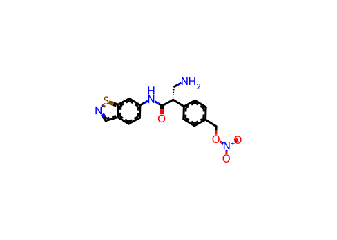 NC[C@@H](C(=O)Nc1ccc2cnsc2c1)c1ccc(CO[N+](=O)[O-])cc1